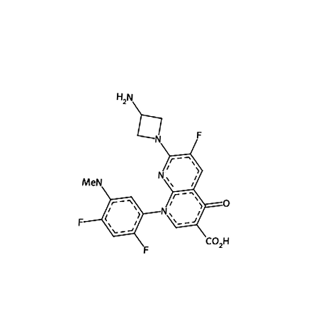 CNc1cc(-n2cc(C(=O)O)c(=O)c3cc(F)c(N4CC(N)C4)nc32)c(F)cc1F